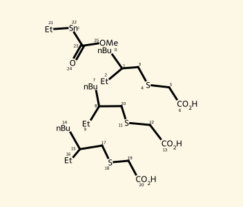 CCCCC(CC)CSCC(=O)O.CCCCC(CC)CSCC(=O)O.CCCCC(CC)CSCC(=O)O.C[CH2][Sn][C](=O)OC